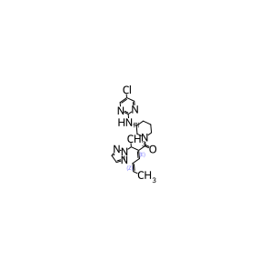 C/C=C\C=C(\C(=O)N1CCC[C@@H](Nc2ncc(Cl)cn2)C1)C(C)n1nccn1